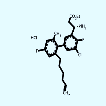 C=CCCCCc1cc(F)cc(C)c1-c1cc(Cl)c(F)c([C@@H](N)CC(=O)OCC)c1.Cl